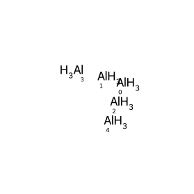 [AlH3].[AlH3].[AlH3].[AlH3].[AlH3]